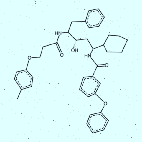 Cc1ccc(OCCC(=O)NC(Cc2ccccc2)[C@@H](O)CC(NC(=O)c2cccc(Oc3ccccc3)c2)C2CCCCC2)cc1